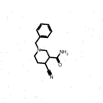 N#CC1CCN(Cc2ccccc2)CC1C(N)=O